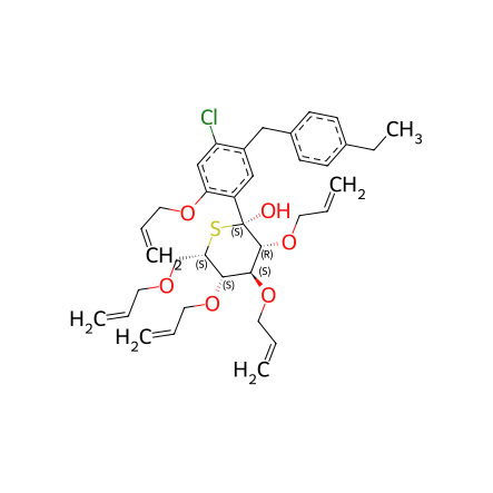 C=CCOC[C@@H]1S[C@@](O)(c2cc(Cc3ccc(CC)cc3)c(Cl)cc2OCC=C)[C@H](OCC=C)[C@@H](OCC=C)[C@@H]1OCC=C